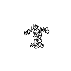 C=Cc1nc2c(-c3ccnc(N(C)Cc4ccc(OC)cc4)c3Cl)nn(C3CCCCO3)c2nc1N1CCC2(CC1)CO[C@@H](C)[C@H]2NC(=O)OC(C)(C)C